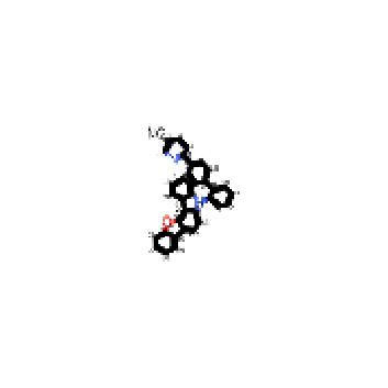 N#Cc1ccc(-c2ccc(-c3ccccc3-n3c4ccccc4c4c5oc6ccccc6c5ccc43)cc2)nc1